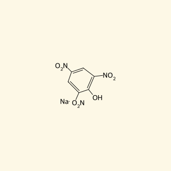 O=[N+]([O-])c1cc([N+](=O)[O-])c(O)c([N+](=O)[O-])c1.[Na]